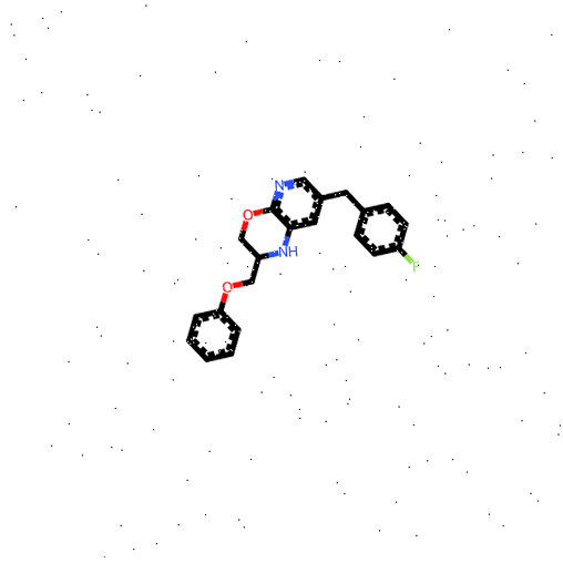 Fc1ccc(Cc2cnc3c(c2)NC(COc2ccccc2)CO3)cc1